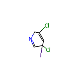 ClC1=CC(Cl)(I)C=NC1